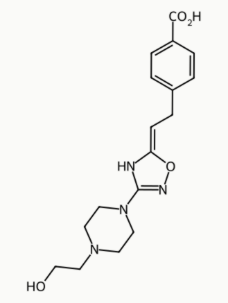 O=C(O)c1ccc(C/C=C2/NC(N3CCN(CCO)CC3)=NO2)cc1